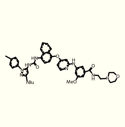 CCCCc1cc(NC(=O)Nc2ccc(Oc3ccnc(Nc4cc(OC)cc(C(=O)NCCN5CCOCC5)c4)c3)c3ccccc23)n(-c2ccc(C)cc2)n1